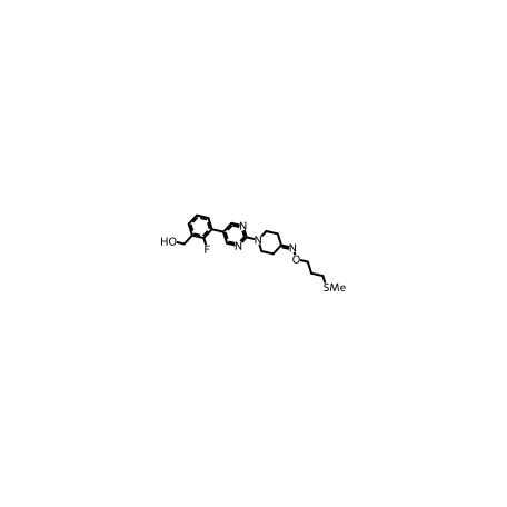 CSCCCON=C1CCN(c2ncc(-c3cccc(CO)c3F)cn2)CC1